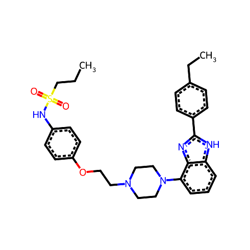 CCCS(=O)(=O)Nc1ccc(OCCN2CCN(c3cccc4[nH]c(-c5ccc(CC)cc5)nc34)CC2)cc1